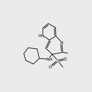 CC1=NC2=CC=CNC2=CC1(NC1CCCCC1)S(C)(=O)=O